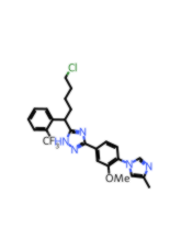 COc1cc(-c2n[nH]c(C(CCCCCl)c3ccccc3C(F)(F)F)n2)ccc1-n1cnc(C)c1